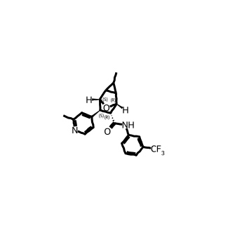 Cc1cc([C@@H]2[C@@H](C(=O)Nc3cccc(C(F)(F)F)c3)[C@@H]3O[C@H]2C2C(C)C23)ccn1